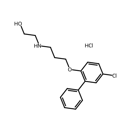 Cl.OCCNCCCOc1ccc(Cl)cc1-c1ccccc1